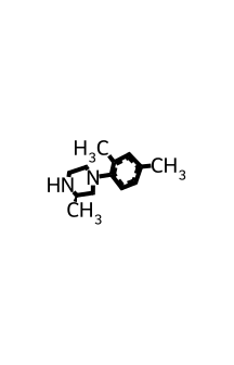 Cc1ccc(N2CCN[C@H](C)C2)c(C)c1